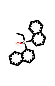 CC[Si]([O])(c1cccc2ccccc12)c1cccc2ccccc12